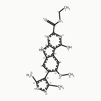 CCOC(=O)c1nc(O)c2c(n1)[nH]c1cc(-c3c(C)noc3C)c(OC)cc12